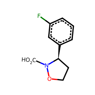 O=C(O)N1OCC[C@@H]1c1cccc(F)c1